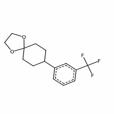 FC(F)(F)c1cccc(C2CCC3(CC2)OCCO3)c1